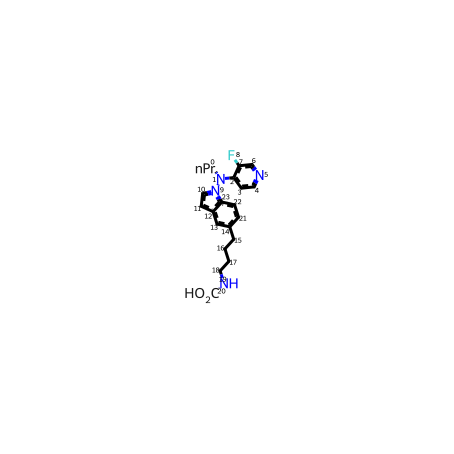 CCCN(c1ccncc1F)n1ccc2cc(CCCCNC(=O)O)ccc21